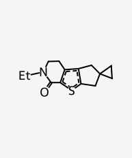 CCN1CCc2c(sc3c2CC2(CC2)C3)C1=O